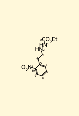 CCOC(=O)NNCCc1ccccc1[N+](=O)[O-]